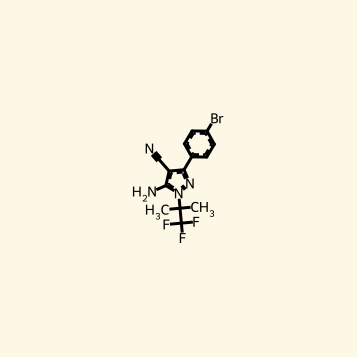 CC(C)(n1nc(-c2ccc(Br)cc2)c(C#N)c1N)C(F)(F)F